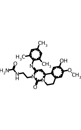 COc1cc2c(cc1O)-c1cc(=Nc3c(C)cc(C)cc3C)n(CCNC(N)=O)c(=O)n1CC2